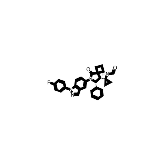 O=CNC1([C@@H]2[C@H](c3ccccc3)N(c3ccc4c(cnn4-c4ccc(F)cc4)c3)C(=O)C23CCC3)CC1